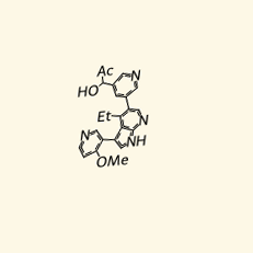 CCc1c(-c2cncc(C(O)C(C)=O)c2)cnc2[nH]cc(-c3cnccc3OC)c12